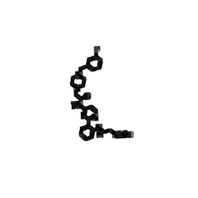 CC(=O)NCCNc1ccccc1-c1nccc(NC(=O)CN2CCN(Cc3cccc(F)c3)CC2)n1